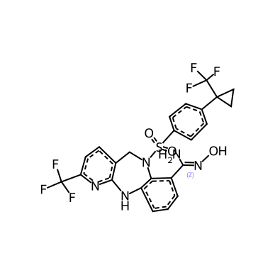 N/C(=N\O)c1cccc2c1N(S(=O)(=O)c1ccc(C3(C(F)(F)F)CC3)cc1)Cc1ccc(C(F)(F)F)nc1N2